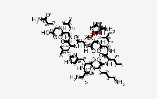 CC[C@H](C)[C@H](NC(=O)[C@H](CCCCN)NC(=O)[C@H](Cc1c[nH]cn1)NC(=O)[C@H](C)N)C(=O)N[C@@H](CC(C)C)C(=O)N[C@@H](Cc1c[nH]cn1)C(=O)N[C@@H](CCCNC(=N)N)C(=O)N[C@@H](CC(C)C)C(=O)N[C@@H](CC(C)C)C(=O)N[C@@H](CCC(N)=O)C(=O)O